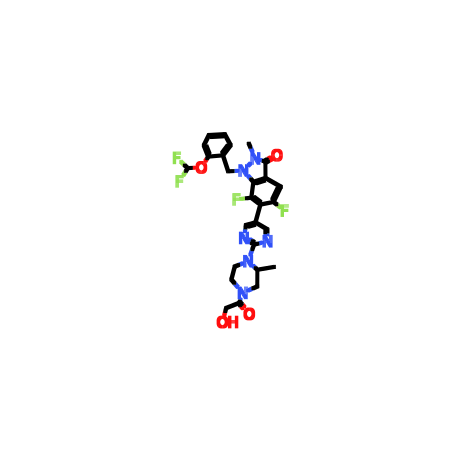 CC1CN(C(=O)CO)CCN1c1ncc(-c2c(F)cc3c(=O)n(C)n(Cc4ccccc4OC(F)F)c3c2F)cn1